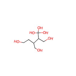 OCCC(CO)C(CO)C(O)(O)O